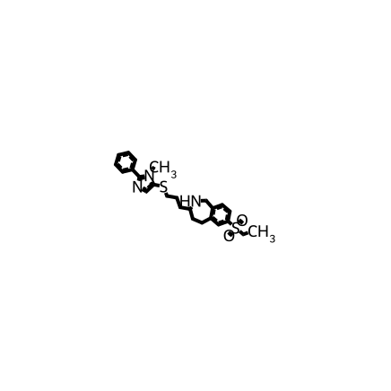 CCS(=O)(=O)c1ccc2c(c1)CCC(CCCSc1cnc(-c3ccccc3)n1C)NC2